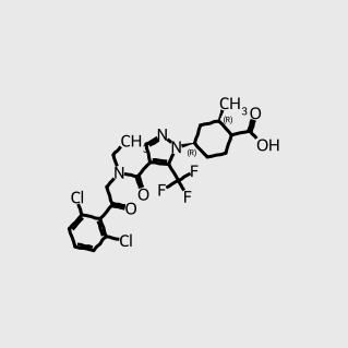 CCN(CC(=O)c1c(Cl)cccc1Cl)C(=O)c1cnn([C@@H]2CCC(C(=O)O)[C@H](C)C2)c1C(F)(F)F